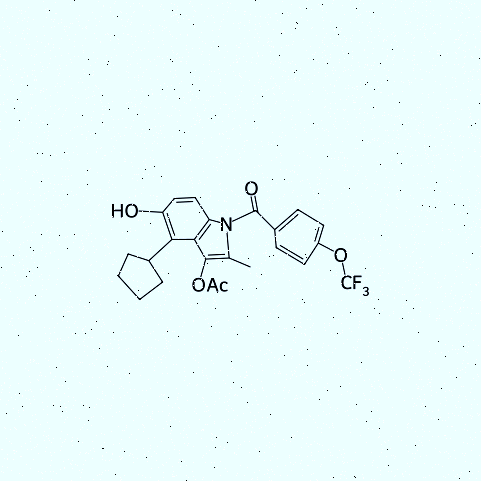 CC(=O)Oc1c(C)n(C(=O)c2ccc(OC(F)(F)F)cc2)c2ccc(O)c(C3CCCC3)c12